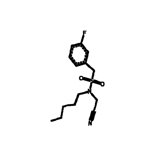 CCCCCN(CC#N)S(=O)(=O)Cc1cccc(F)c1